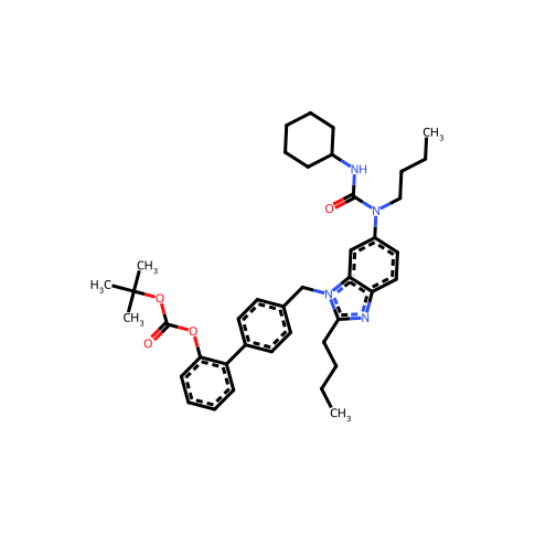 CCCCc1nc2ccc(N(CCCC)C(=O)NC3CCCCC3)cc2n1Cc1ccc(-c2ccccc2OC(=O)OC(C)(C)C)cc1